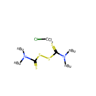 CCCCN(CCCC)C(=S)SSC(=S)N(CCCC)CCCC.ClC(Cl)(Cl)Cl